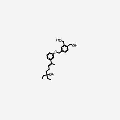 CCC(O)([CH]C/C=C(\C)c1cccc(OCc2ccc(CO)c(CO)c2)c1)CC